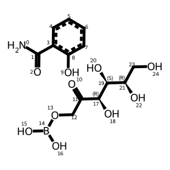 NC(=O)c1ccccc1O.O=C(COB(O)O)[C@H](O)[C@@H](O)[C@H](O)CO